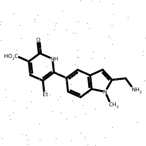 CCc1cc(C(=O)O)c(=O)[nH]c1-c1ccc2c(c1)cc(CN)n2C